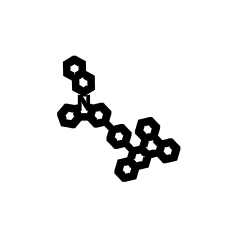 c1ccc2cc(-n3c4ccccc4c4cc(-c5ccc(-c6c7ccccc7cc7c8ccccc8c8ccccc8c67)cc5)ccc43)ccc2c1